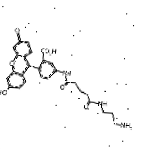 NCCCNC(=O)CCCC(=O)Nc1ccc(-c2c3ccc(=O)cc-3oc3cc(O)ccc23)c(C(=O)O)c1